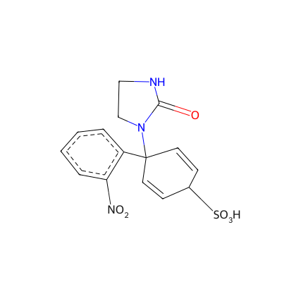 O=C1NCCN1C1(c2ccccc2[N+](=O)[O-])C=CC(S(=O)(=O)O)C=C1